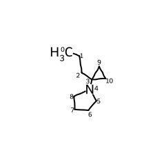 CCCC1(N2CCCC2)CC1